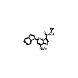 CNc1cc(-n2ccc3ccccc32)nn2c(C(=O)NC3CC3)cnc12